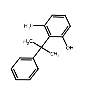 Cc1cccc(O)c1C(C)(C)c1ccccc1